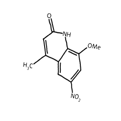 COc1cc([N+](=O)[O-])cc2c(C)cc(=O)[nH]c12